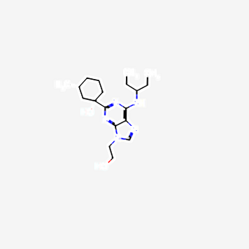 CCC(CC)Nc1nc([C@]2(O)CCC[C@@H](C)C2)nc2c1ncn2CCO